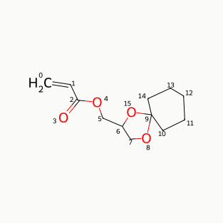 C=CC(=O)OCC1COC2(CCCCC2)O1